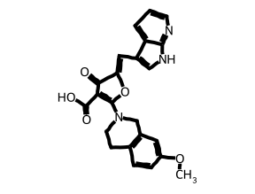 COc1ccc2c(c1)CN(C1=C(C(=O)O)C(=O)C(=Cc3c[nH]c4ncccc34)O1)CC2